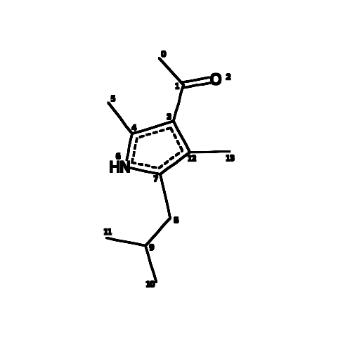 CC(=O)c1c(C)[nH]c(CC(C)C)c1C